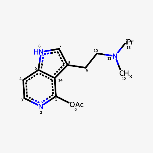 CC(=O)Oc1nccc2[nH]cc(CCN(C)C(C)C)c12